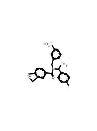 CC(c1ccc(F)cc1)N(Cc1cccc(C(=O)O)c1)C(=O)c1ccc2c(c1)CCO2